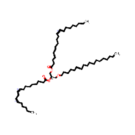 CCCCC/C=C\C/C=C\CCCCCCCC(=O)O[C@H](COCCCCCCCCCCCCCCCCCC)COC(=O)CCCCCCCCC/C=C\CCCCCCCC